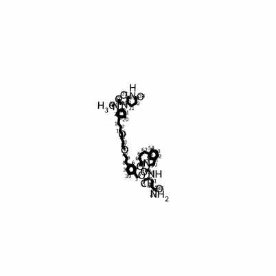 C[C@@H](OCc1ccc(CCCOCCCOCCCc2ccc3c(c2)n(C)c(=O)n3C2CCC(=O)NC2=O)cc1)[C@H](CCC(N)=O)NC(=O)[C@@H]1Cc2cccc3c2N1C(=O)CCC3